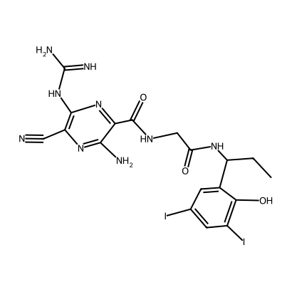 CCC(NC(=O)CNC(=O)c1nc(NC(=N)N)c(C#N)nc1N)c1cc(I)cc(I)c1O